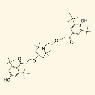 CC(C)(C)c1cc(C(=O)CCOCCN2C(C)(C)CC(OCCC(=O)c3c(C(C)(C)C)cc(O)cc3C(C)(C)C)CC2(C)C)cc(C(C)(C)C)c1O